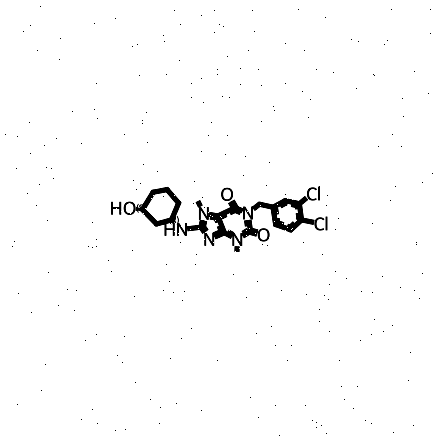 Cn1c(N[C@@H]2CCC[C@H](O)C2)nc2c1c(=O)n(Cc1ccc(Cl)c(Cl)c1)c(=O)n2C